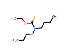 CCCCN(CCCC)C(=S)OCC